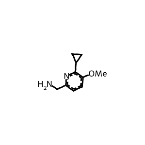 COc1ccc(CN)nc1C1CC1